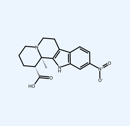 C[C@@]12c3[nH]c4cc([N+](=O)[O-])ccc4c3CCN1CCC[C@H]2C(=O)O